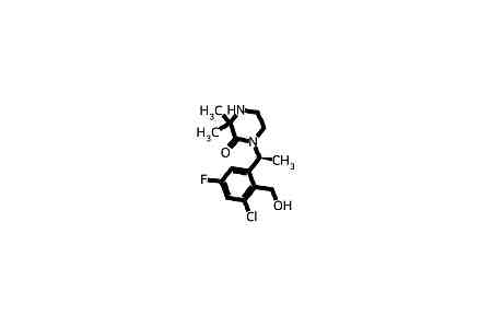 C[C@@H](c1cc(F)cc(Cl)c1CO)N1CCNC(C)(C)C1=O